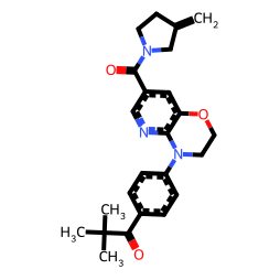 C=C1CCN(C(=O)c2cnc3c(c2)OCCN3c2ccc(C(=O)C(C)(C)C)cc2)C1